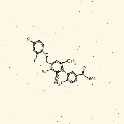 CNC(=O)c1ccc(C)c(-n2c(C)cc(COc3ccc(F)cc3F)c(Br)c2=O)c1